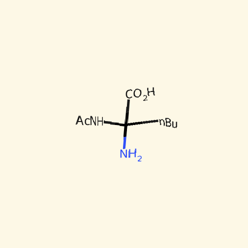 CCCCC(N)(NC(C)=O)C(=O)O